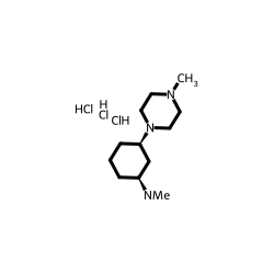 CN[C@H]1CCC[C@@H](N2CCN(C)CC2)C1.Cl.Cl.Cl